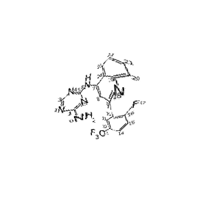 Nc1ncnc(Nc2cc(-c3cc(C(F)(F)F)ccc3F)nc3ccccc23)n1